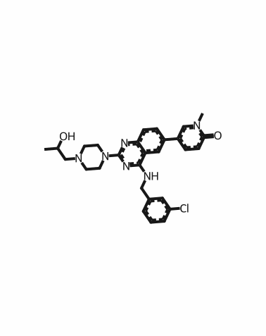 CC(O)CN1CCN(c2nc(NCc3cccc(Cl)c3)c3cc(-c4ccc(=O)n(C)c4)ccc3n2)CC1